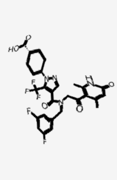 Cc1cc(=O)[nH]c(C)c1C(=O)CN(Cc1cc(F)cc(F)c1)C(=O)c1cnn([C@H]2CC[C@H](C(=O)O)CC2)c1C(F)(F)F